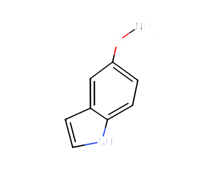 O=[N+]([O-])Oc1ccc2[nH]ccc2c1